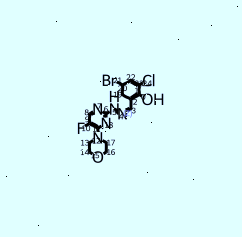 OC1=C(/C=N\Nc2ncc(F)c(N3CCOCC3)n2)CC(Br)C=C1Cl